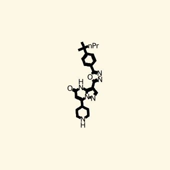 CCCC(C)(C)c1ccc(-c2nnc(-c3cnn4c(C5CCNCC5)cc(=O)[nH]c34)o2)cc1